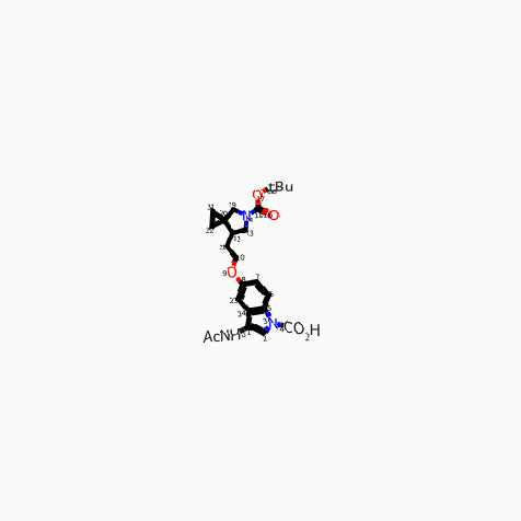 CC(=O)Nc1cn(C(=O)O)c2ccc(OCCC3CN(C(=O)OC(C)(C)C)CC34CC4)cc12